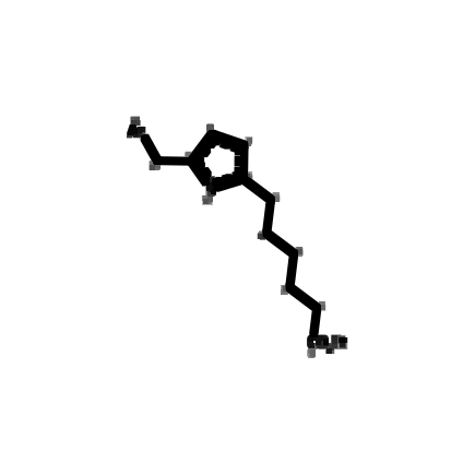 CCOC(=O)CCCCCc1ccc(CC(C)=O)s1